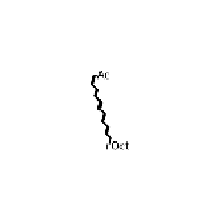 CCCCCCCCC/C=C/C=C/C=C/C=C/C=C\C(C)=O